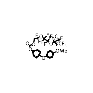 COc1ccc(Oc2ccc(OC(=O)OCC(F)(F)OC(F)(F)C(F)(F)OC(F)(F)C(F)(C(F)(F)F)C(F)(F)F)cc2)cc1